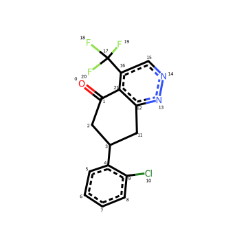 O=C1CC(c2ccccc2Cl)Cc2nncc(C(F)(F)F)c21